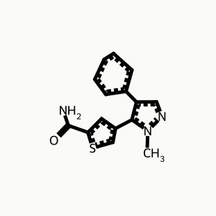 Cn1ncc(-c2ccccc2)c1-c1csc(C(N)=O)c1